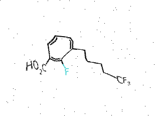 O=C(O)c1cccc(CCCCC(F)(F)F)c1F